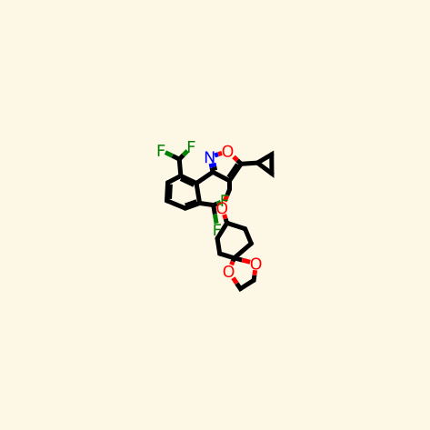 FC(F)c1cccc(C(F)F)c1-c1noc(C2CC2)c1COC1CCC2(CC1)OCCO2